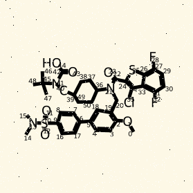 COc1ccc(-c2ccc(S(=O)(=O)N(C)C)cc2)cc1CN(C(=O)c1sc2c(F)ccc(F)c2c1Cl)C1CCC(CN(C(=O)O)C(C)(C)C)CC1